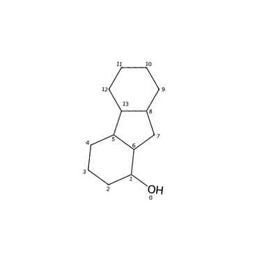 OC1CCCC2C1CC1CCCCC12